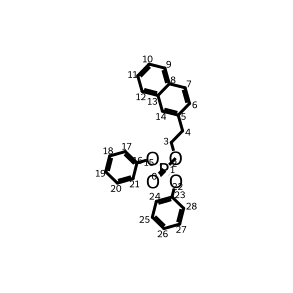 O=P(OCCc1ccc2ccccc2c1)(Oc1ccccc1)Oc1ccccc1